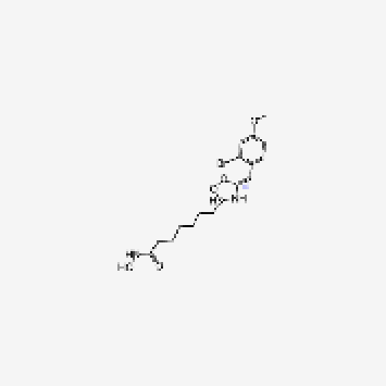 COc1ccc(/C=C2/N[SH](CCCCCCC(=O)NO)OO2)c(Br)c1